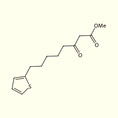 COC(=O)CC(=O)CCCCCc1cccs1